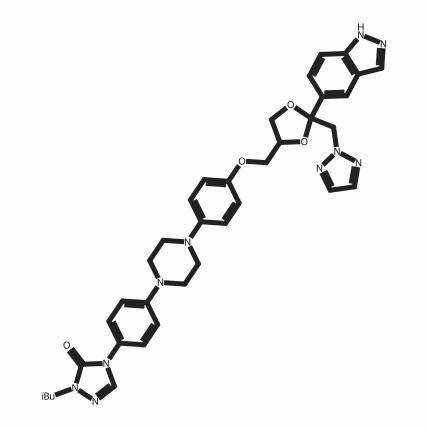 CCC(C)n1ncn(-c2ccc(N3CCN(c4ccc(OCC5COC(Cn6nccn6)(c6ccc7[nH]ncc7c6)O5)cc4)CC3)cc2)c1=O